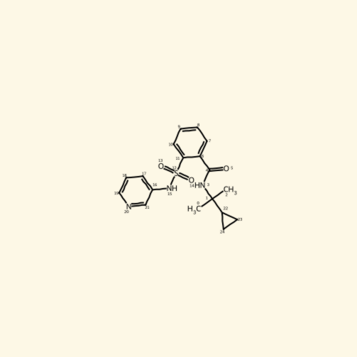 CC(C)(NC(=O)c1ccccc1S(=O)(=O)Nc1cccnc1)C1CC1